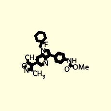 COC(=O)Nc1ccc(-c2cn(CC3(F)CCCCC3)c3cc(-c4c(C)noc4C)cnc23)cc1